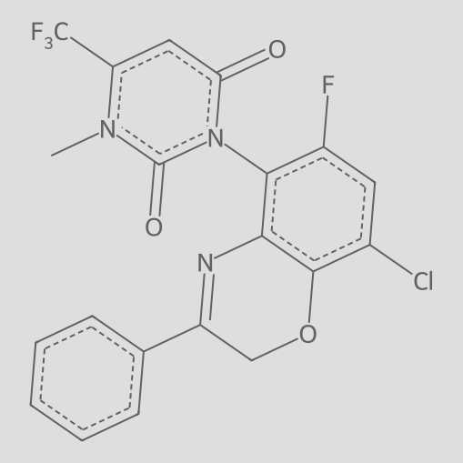 Cn1c(C(F)(F)F)cc(=O)n(-c2c(F)cc(Cl)c3c2N=C(c2ccccc2)CO3)c1=O